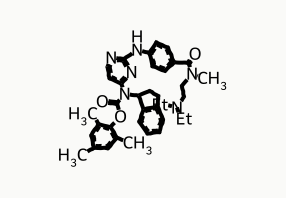 CCN(CC)CCN(C)C(=O)c1ccc(Nc2nccc(N(C(=O)Oc3c(C)cc(C)cc3C)C3CCc4ccccc43)n2)cc1